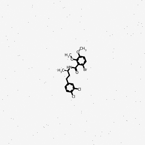 COc1ccc(Br)c(C(=O)N[C@H](C)CCc2ccc(Cl)c(Cl)c2)c1OC